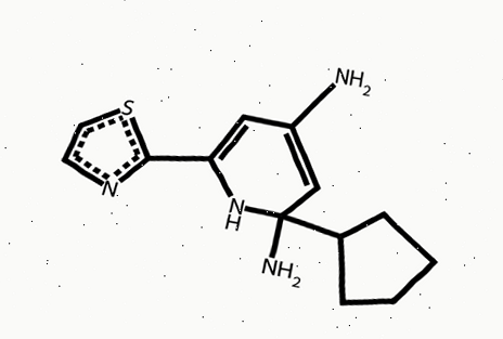 NC1=CC(N)(C2CCCC2)NC(c2nccs2)=C1